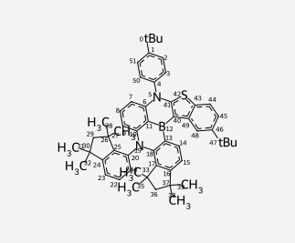 CC(C)(C)c1ccc(N2c3cccc4c3B(c3ccc5c(c3N4c3cccc4c3C(C)(C)CC4(C)C)C(C)(C)CC5(C)C)c3c2sc2ccc(C(C)(C)C)cc32)cc1